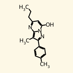 CCCc1cc(O)n2nc(-c3ccc(C)cc3)c(C)c2n1